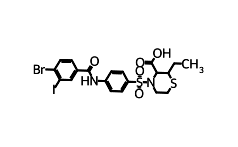 CCC1SCCN(S(=O)(=O)c2ccc(NC(=O)c3ccc(Br)c(I)c3)cc2)C1C(=O)O